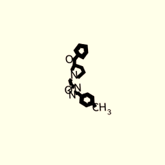 Cc1ccc(-c2noc(CN3CCCC(C(=O)c4ccccc4)C3)n2)cc1